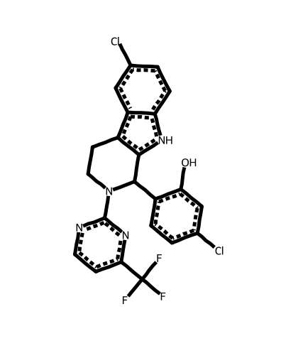 Oc1cc(Cl)ccc1C1c2[nH]c3ccc(Cl)cc3c2CCN1c1nccc(C(F)(F)F)n1